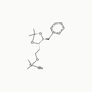 CC1(C)O[C@@H](CCO[Si](C)(C)C(C)(C)C)[C@H](Cc2ccccc2)O1